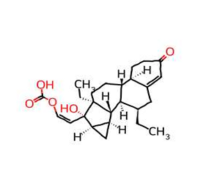 CC[C@@H]1CC2=CC(=O)CC[C@@H]2[C@H]2CC[C@@]3(CC)[C@@H]([C@H]4C[C@H]4[C@@]3(O)/C=C\OC(=O)O)[C@H]12